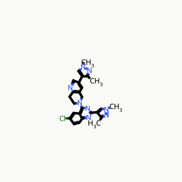 Cc1nn(C)cc1-c1cnc2c(c1)CN(c1nc(-c3cn(C)nc3C)nc3ccc(Cl)cc13)CC2